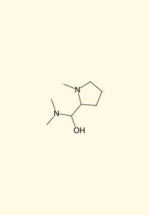 CN(C)C(O)C1CCCN1C